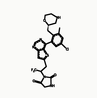 Cc1cc(Cl)cc(-c2ncnc3cc(CC(N4C(=O)CNC4=O)C(F)(F)F)sc23)c1C[C@H]1CNCCO1